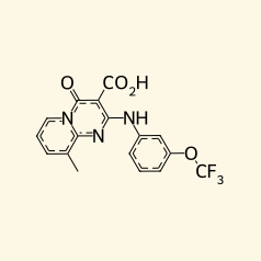 Cc1cccn2c(=O)c(C(=O)O)c(Nc3cccc(OC(F)(F)F)c3)nc12